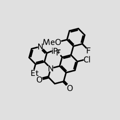 CCc1ccnc(C(C)C)c1N1C(=O)CC(=O)c2cc(Cl)c(-c3c(F)cccc3OC)c(F)c21